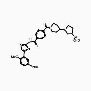 CCCCc1ccc(OC)c(-c2csc(NC(=O)c3ccc(C(=O)N4CCC(N5CCC(NC=O)C5)CC4)cc3)n2)c1